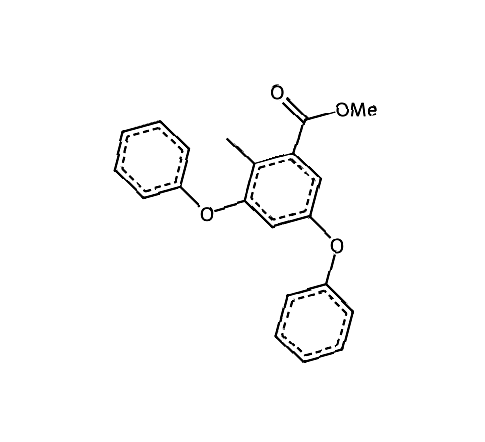 COC(=O)c1cc(Oc2ccccc2)cc(Oc2ccccc2)c1C